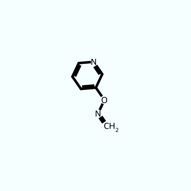 C=NOc1cccnc1